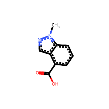 Cn1ncc2c(C(=O)O)cccc21